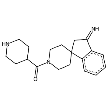 N=C1CC2(CCN(C(=O)C3CCNCC3)CC2)c2ccccc21